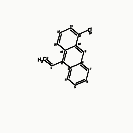 C=Cc1c2ccccc2cc2c(Cl)cccc12